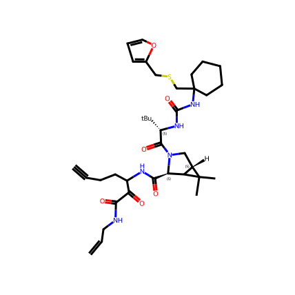 C#CCCC(NC(=O)[C@@H]1C2[C@H](CN1C(=O)[C@@H](NC(=O)NC1(CSCc3ccco3)CCCCC1)C(C)(C)C)C2(C)C)C(=O)C(=O)NCC=C